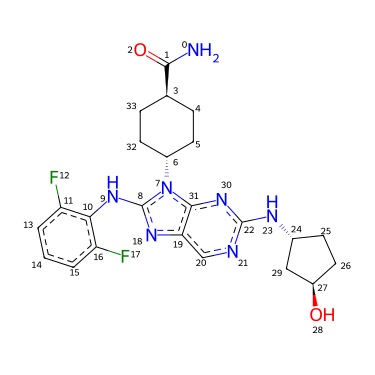 NC(=O)[C@H]1CC[C@H](n2c(Nc3c(F)cccc3F)nc3cnc(N[C@@H]4CC[C@@H](O)C4)nc32)CC1